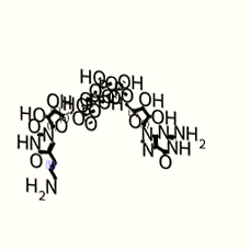 NC/C=C/c1cn([C@H]2O[C@@H](COP(=O)(O)OP(=O)(O)OP(=O)(O)OP(=O)(O)OC[C@@H]3O[C@H](n4cnc5c(=O)[nH]c(N)nc54)C(O)C3O)[C@@H](O)C2O)c(=O)[nH]c1=O